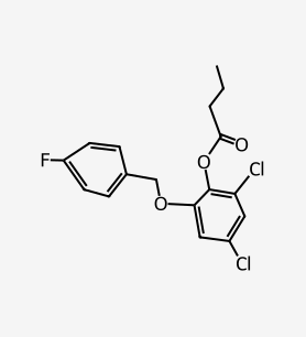 CCCC(=O)Oc1c(Cl)cc(Cl)cc1OCc1ccc(F)cc1